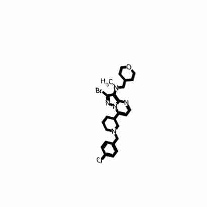 CN(CC1CCOCC1)c1c(Br)nn2c(C3CCCN(Cc4ccc(Cl)cc4)C3)ccnc12